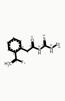 C=C(F)c1ccccc1CC(=O)NC(=S)NCC